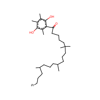 Cc1c(C)c(O)c(C(=O)CCCCC(C)(C)CCCC(C)CCCC(C)CCCC(C)C)c(C)c1O